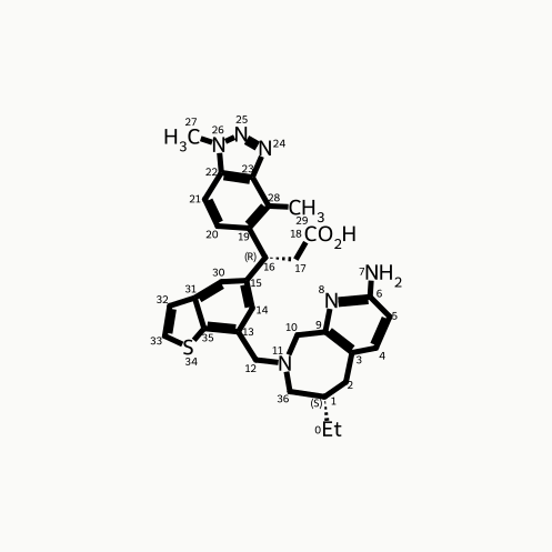 CC[C@H]1Cc2ccc(N)nc2CN(Cc2cc([C@@H](CC(=O)O)c3ccc4c(nnn4C)c3C)cc3ccsc23)C1